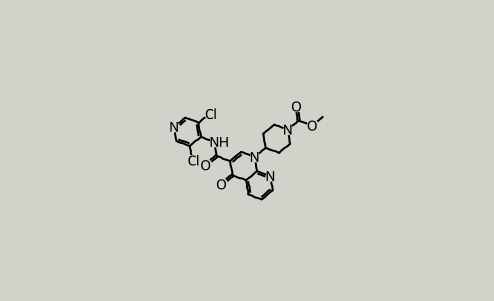 COC(=O)N1CCC(n2cc(C(=O)Nc3c(Cl)cncc3Cl)c(=O)c3cccnc32)CC1